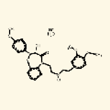 COc1ccc([C@@H]2Sc3ccccc3N(CCN(C)CCc3ccc(OC)c(OC)c3)C(=O)[C@@H]2O)cc1.Cl.O